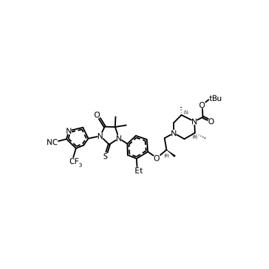 CCc1cc(N2C(=S)N(c3cnc(C#N)c(C(F)(F)F)c3)C(=O)C2(C)C)ccc1O[C@H](C)CN1C[C@@H](C)N(C(=O)OC(C)(C)C)[C@@H](C)C1